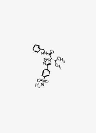 CC(C)[C@@H](C(=O)NCc1ccccc1)n1cc(-c2ccc(S(N)(=O)=O)cc2)nn1